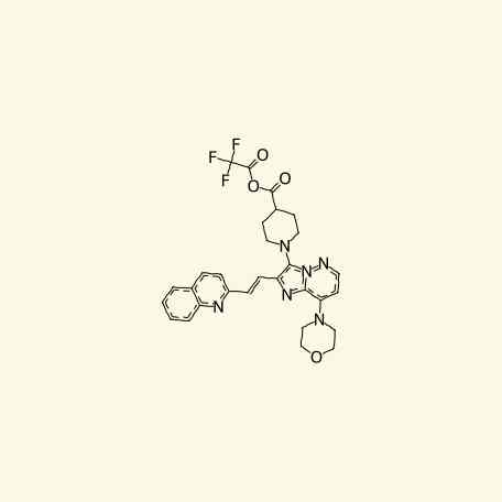 O=C(OC(=O)C(F)(F)F)C1CCN(c2c(/C=C/c3ccc4ccccc4n3)nc3c(N4CCOCC4)ccnn23)CC1